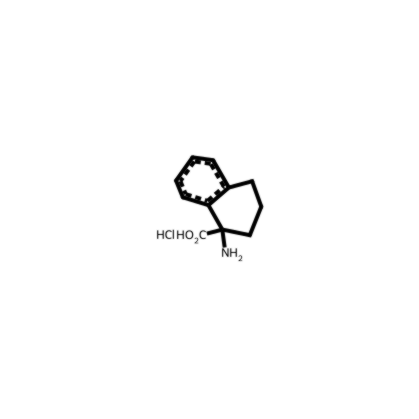 Cl.NC1(C(=O)O)CCCc2ccccc21